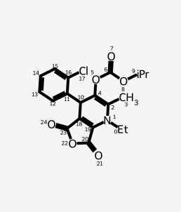 CCN1C(C)=C(OC(=O)OC(C)C)C(c2ccccc2Cl)C2=C1C(=O)OC2=O